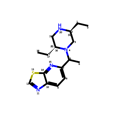 CC[C@H]1CN(C(C)c2ccc3ncsc3n2)[C@H](CC)CN1